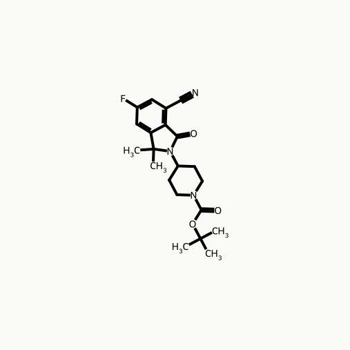 CC(C)(C)OC(=O)N1CCC(N2C(=O)c3c(C#N)cc(F)cc3C2(C)C)CC1